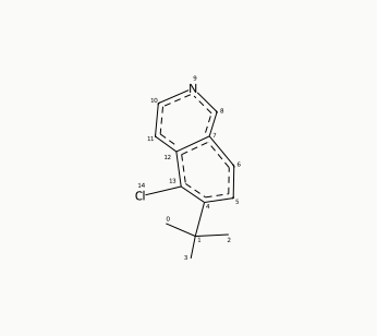 CC(C)(C)c1ccc2cnccc2c1Cl